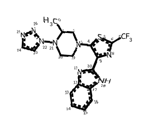 CC1CN(c2sc(C(F)(F)F)nc2-c2nc3ccccc3[nH]2)CCN1n1ccnn1